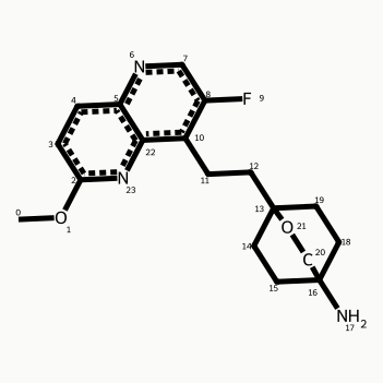 COc1ccc2ncc(F)c(CCC34CCC(N)(CC3)CO4)c2n1